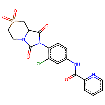 O=C(Nc1ccc(N2C(=O)C3CS(=O)(=O)CCN3C2=O)c(Cl)c1)c1ccccn1